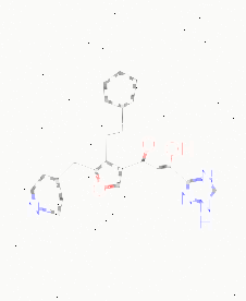 O=C(C=C(O)c1nc[nH]n1)c1coc(Cc2ccncc2)c1CCc1ccccc1